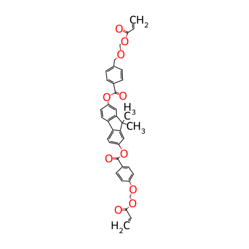 C=CC(=O)OCOCc1ccc(C(=O)Oc2ccc3c(c2)C(C)(C)c2cc(OC(=O)c4ccc(OCOC(=O)C=C)cc4)ccc2-3)cc1